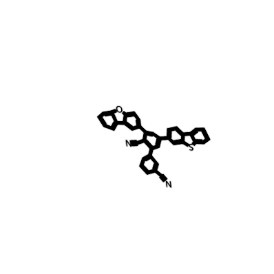 N#Cc1cccc(-c2cc(-c3ccc4c(c3)sc3ccccc34)cc(-c3ccc4oc5ccccc5c4c3)c2C#N)c1